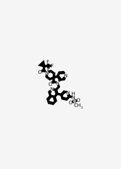 CS(=O)(=O)Nc1ccc(-c2c(CN3C(=O)C4(CCN(C(=O)C5(C(F)(F)F)CC5)CC4)c4ccncc43)ncc3ccccc23)cn1